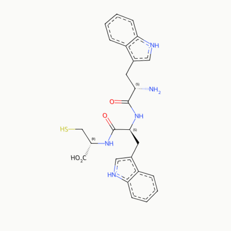 N[C@@H](Cc1c[nH]c2ccccc12)C(=O)N[C@@H](Cc1c[nH]c2ccccc12)C(=O)N[C@@H](CS)C(=O)O